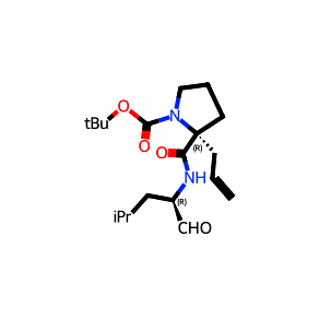 C=CC[C@@]1(C(=O)N[C@@H](C=O)CC(C)C)CCCN1C(=O)OC(C)(C)C